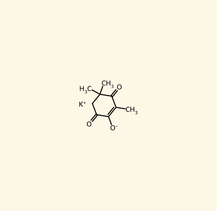 CC1=C([O-])C(=O)CC(C)(C)C1=O.[K+]